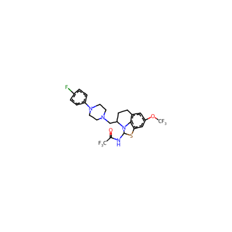 O=C(NC1Sc2cc(OC(F)(F)F)cc3c2N1C(CN1CCN(c2ccc(F)cc2)CC1)CC3)C(F)(F)F